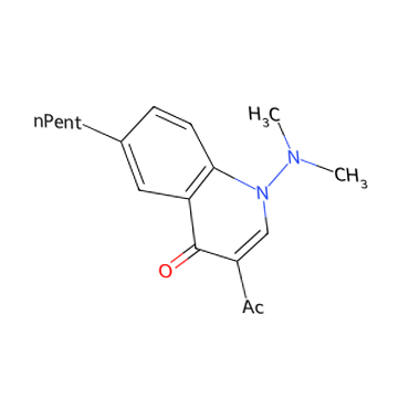 CCCCCc1ccc2c(c1)c(=O)c(C(C)=O)cn2N(C)C